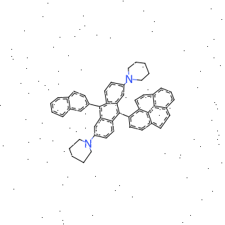 c1ccc2cc(-c3c4cc(N5CCCCC5)ccc4c(-c4ccc5ccc6cccc7ccc4c5c67)c4cc(N5CCCCC5)ccc34)ccc2c1